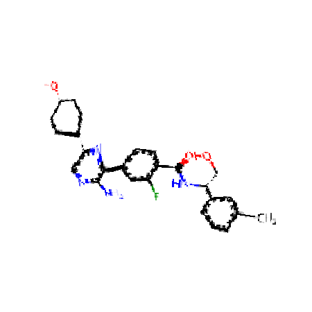 Cc1cccc([C@@H](CO)NC(=O)c2ccc(-c3nc([C@H]4CC[C@@H](O)CC4)cnc3N)cc2F)c1